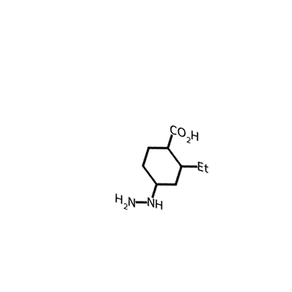 CCC1CC(NN)CCC1C(=O)O